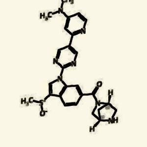 CN(C)c1ccnc(-c2cnc(-n3cc([S+](C)[O-])c4ccc(C(=O)N5C[C@@H]6C[C@H]5CN6)cc43)nc2)c1